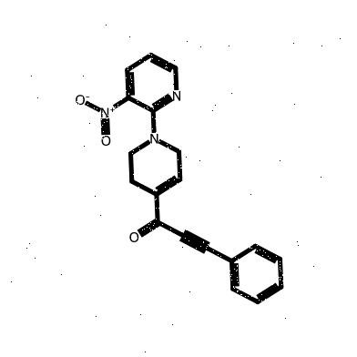 O=C(C#Cc1ccccc1)C1=CCN(c2ncccc2[N+](=O)[O-])CC1